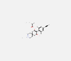 CC#Cc1cc(C)c(C2=C(OC(=O)C(C)OC)CC3(CCN(C=O)CC3)CC2=O)c(C)c1